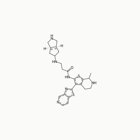 CC1NCCc2c1sc(NC(=O)CCNC1C[C@H]3CNC[C@H]3C1)c2-c1nc2cnccc2s1